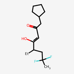 CCC(CC(C)(F)F)/C(O)=C/C(=O)CC1CCCC1